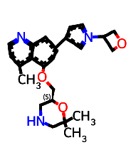 Cc1ccnc2cc(-c3ccn(C4COC4)c3)cc(OC[C@@H]3CNCC(C)(C)O3)c12